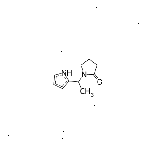 CC(c1ccc[nH]1)N1CCCC1=O